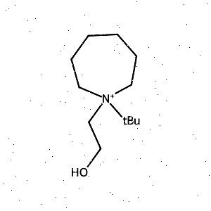 CC(C)(C)[N+]1(CCO)CCCCCC1